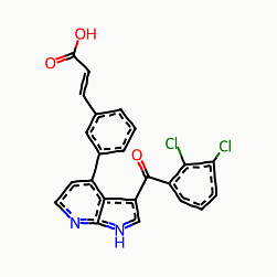 O=C(O)C=Cc1cccc(-c2ccnc3[nH]cc(C(=O)c4cccc(Cl)c4Cl)c23)c1